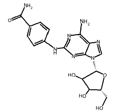 NC(=O)c1ccc(Nc2nc(N)c3ncn([C@@H]4O[C@H](CO)C(O)C4O)c3n2)cc1